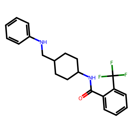 O=C(NC1CCC(CNc2ccccc2)CC1)c1ccccc1C(F)(F)F